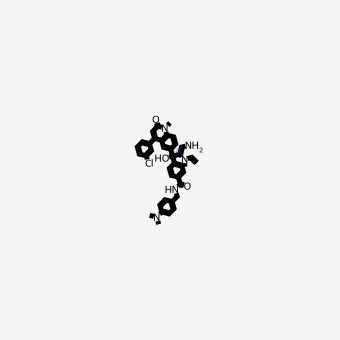 C=CN(C)/C(=C\N)C(O)(c1ccc(C(=O)NCc2ccc(N(C)C)cc2)cc1)c1ccc2c(c1)c(-c1cccc(Cl)c1)cc(=O)n2C